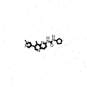 Cc1c(-c2cnn(C)c2)cnc2ccc(NC(=O)NC3CCCC3)nc12